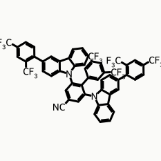 N#Cc1cc(-n2c3ccccc3c3cc(-c4ccc(C(F)(F)F)cc4C(F)(F)F)ccc32)c(-c2cc(C(F)(F)F)cc(C(F)(F)F)c2)c(-n2c3ccccc3c3cc(-c4ccc(C(F)(F)F)cc4C(F)(F)F)ccc32)c1